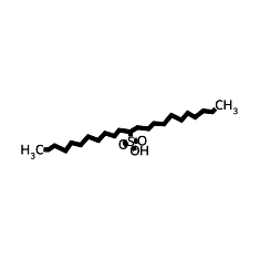 CCCCCCCCCCCC(CCCCCCCCCCC)S(=O)(=O)O